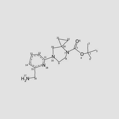 CC(C)(C)OC(=O)N1CCN(c2cccc(CN)n2)CC12CC2